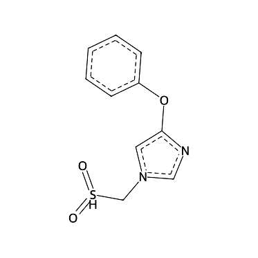 O=[SH](=O)Cn1cnc(Oc2ccccc2)c1